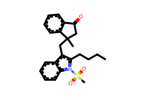 CCCCc1c(CC2(C)CC(=O)c3ccccc32)c2ccccc2n1S(C)(=O)=O